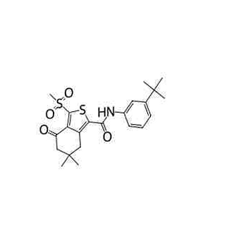 CC1(C)CC(=O)c2c(S(C)(=O)=O)sc(C(=O)Nc3cccc(C(C)(C)C)c3)c2C1